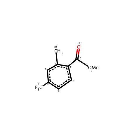 COC(=O)c1ccc(C(F)(F)F)cc1C